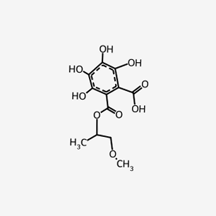 COCC(C)OC(=O)c1c(O)c(O)c(O)c(O)c1C(=O)O